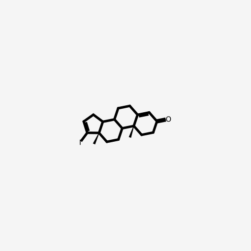 C[C@]12CCC(=O)C=C1CCC1C2CC[C@]2(C)C(I)=CCC12